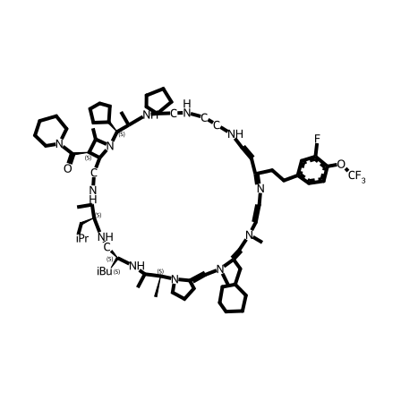 CC[C@H](C)[C@H]1CN[C@@H](CC(C)C)C(C)NCC2[C@@H](C(=O)N3CCCCC3)C(C)N2[C@@H](C2CCCC2)C(C)NC2(CCCC2)CNCCNC=CC(CCc2ccc(OC(F)(F)F)c(F)c2)=NC=CN(C)C=C(CC2CCCCC2)N(C)C=C2CCCN2[C@@H](C)C(C)N1